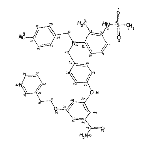 Cc1c(NS(C)(=O)=O)cccc1N(Cc1ccc(C#N)cc1)Cc1ccc(Oc2cc(OCCc3cccnc3)cc(C(N)=O)c2)cc1